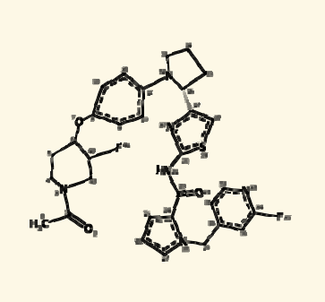 CC(=O)N1CCC(Oc2ccc(N3CCC[C@@H]3c3csc(NC(=O)c4cccn4Cc4ccnc(F)c4)n3)cc2)C(F)C1